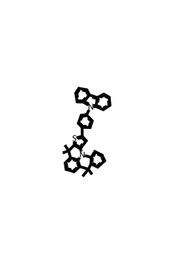 CC1(C)c2ccccc2N2c3cc(-c4ccc(-n5c6ccccc6c6ccccc65)cc4)sc3C(C)(C)c3cccc1c32